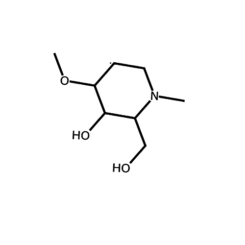 COC1[CH]CN(C)C(CO)C1O